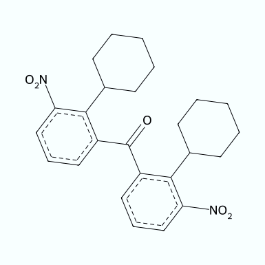 O=C(c1cccc([N+](=O)[O-])c1C1CCCCC1)c1cccc([N+](=O)[O-])c1C1CCCCC1